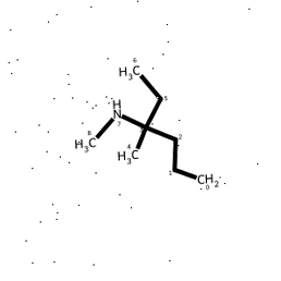 [CH2]CCC(C)(CC)NC